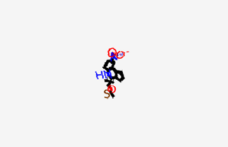 CC(=S)OCC(C)(C)[C@H]1Nc2ccc([N+](=O)[O-])cc2C2C=CCC21